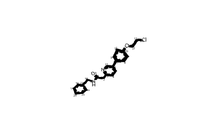 O=C(Cc1ccc(-c2ccc(OCCCl)cc2)cn1)NCc1ccccc1